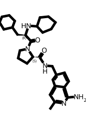 Cc1cc2cc(CNC(=O)[C@@H]3CCCN3C(=O)[C@@H](CC3CCCCC3)NC3CCCCC3)ccc2c(N)n1